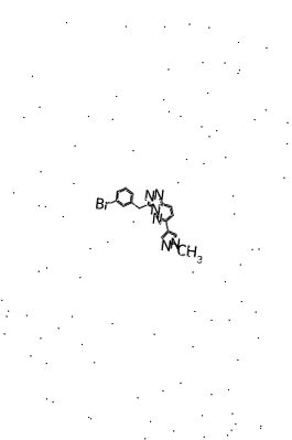 Cn1cc(-c2ccc3nnc(Cc4cccc(Br)c4)n3n2)cn1